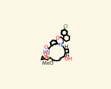 CO[C@@H]1C/C=C/[C@H](O)[C@@H]2CC[C@H]2CN2C[C@@]3(CCCc4cc(Cl)ccc43)COc3ccc(cc32)C(=O)NS(=O)(=O)[C@@H]1CC1CC1